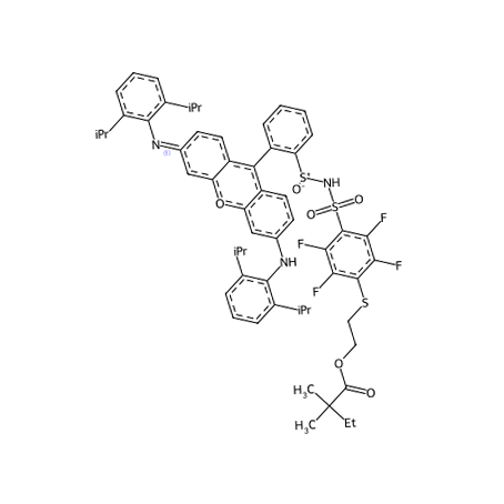 CCC(C)(C)C(=O)OCCSc1c(F)c(F)c(S(=O)(=O)N[S+]([O-])c2ccccc2-c2c3cc/c(=N\c4c(C(C)C)cccc4C(C)C)cc-3oc3cc(Nc4c(C(C)C)cccc4C(C)C)ccc23)c(F)c1F